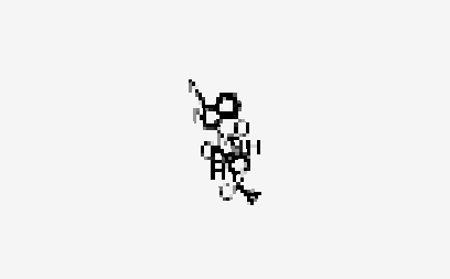 N#Cc1ncc(N2C(=O)[C@H]3[C@@H]4C[C@@H](CN4C(=O)C4CC4)N3C2=O)c2ccccc12